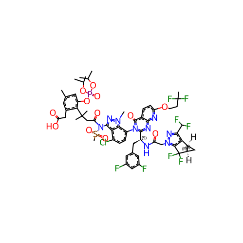 Cc1cc(CC(=O)O)c(C(C)(C)CC(=O)N(c2nn(C)c3c(-n4c([C@H](Cc5cc(F)cc(F)c5)NC(=O)Cn5nc(C(F)F)c6c5C(F)(F)[C@@H]5C[C@H]65)nc5nc(OCCC(C)(F)F)ccc5c4=O)ccc(Cl)c23)S(C)(=O)=O)c(OP(=O)(OC(C)C)OC(C)C)c1